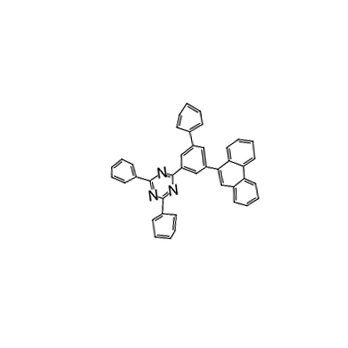 c1ccc(-c2cc(-c3nc(-c4ccccc4)nc(-c4ccccc4)n3)cc(-c3cc4ccccc4c4ccccc34)c2)cc1